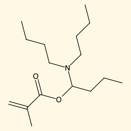 C=C(C)C(=O)OC(CCC)N(CCCC)CCCC